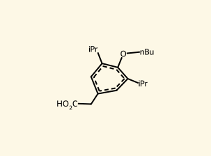 CCCCOc1c(C(C)C)cc(CC(=O)O)cc1C(C)C